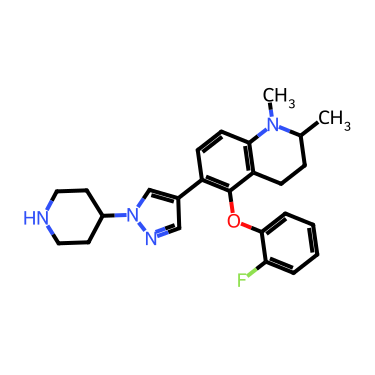 CC1CCc2c(ccc(-c3cnn(C4CCNCC4)c3)c2Oc2ccccc2F)N1C